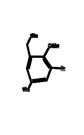 CCc1cc(C(C)(C)C)cc(CC(C)(C)C)c1OC